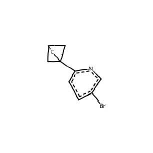 Brc1ccc(C23CC(C2)C3)nc1